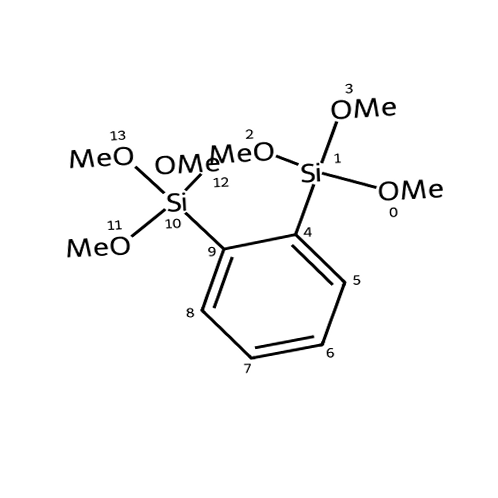 CO[Si](OC)(OC)c1ccccc1[Si](OC)(OC)OC